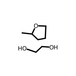 CC1CCCO1.OCCO